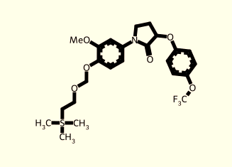 COc1cc(N2CCC(Oc3ccc(OC(F)(F)F)cc3)C2=O)ccc1OCOCCS(C)(C)C